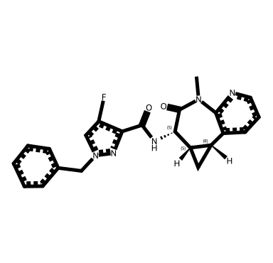 CN1C(=O)[C@@H](NC(=O)c2nn(Cc3ccccc3)cc2F)[C@H]2C[C@H]2c2cccnc21